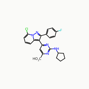 O=C(O)c1cc(-c2c(-c3ccc(F)cc3)nn3c(Cl)cccc23)nc(NC2CCCC2)n1